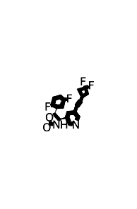 O=C1N[C@H](c2cncc(C#CC3CC(F)(F)C3)c2)[C@@H](c2cc(F)ccc2F)O1